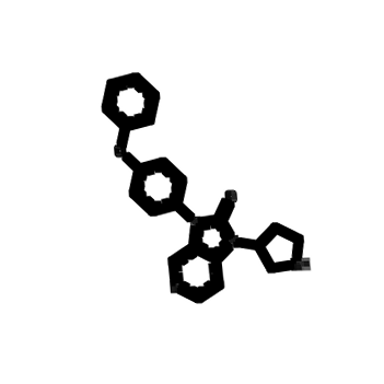 O=c1n(-c2ccc(Oc3ccccc3)cc2)c2cnccc2n1C1CCNC1